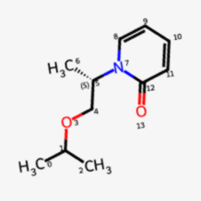 CC(C)OC[C@H](C)n1ccccc1=O